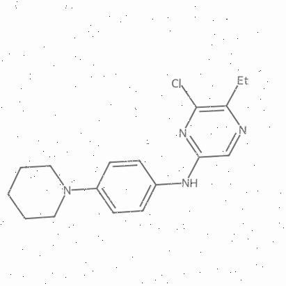 CCc1ncc(Nc2ccc(N3CCCCC3)cc2)nc1Cl